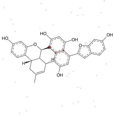 CC1=C[C@@H]2c3c(O)cc(-c4cc5ccc(O)cc5o4)cc3O[C@@]3(c4ccc(O)cc4O)Oc4cc(O)ccc4[C@@H](C1)C23